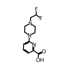 O=C(O)c1cccc(N2CCN(CC(F)F)CC2)n1